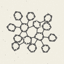 c1ccc(-c2ncc3c(n2)-c2c(-c4ccccc4)c(-c4ccccc4)c(-c4ccccc4)c(-c4ccccc4)c2-c2cnc(-c4ccccc4)nc2-c2c(-c4ccccc4)c(-c4ccccc4)c(-c4ccccc4)c(-c4ccccc4)c2-3)cc1